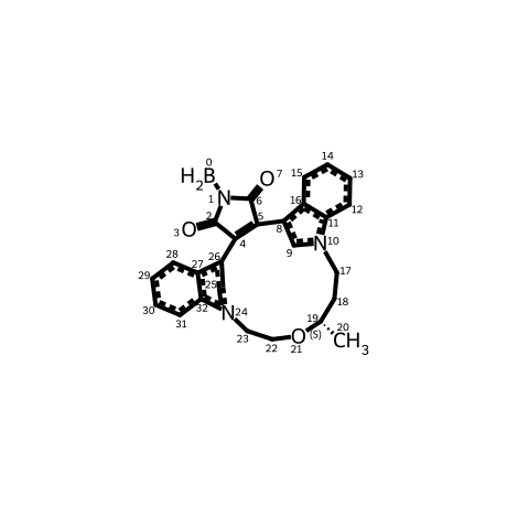 BN1C(=O)C2=C(C1=O)c1cn(c3ccccc13)CC[C@H](C)OCCn1cc2c2ccccc21